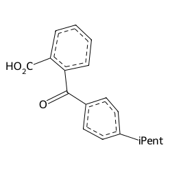 CCCC(C)c1ccc(C(=O)c2ccccc2C(=O)O)cc1